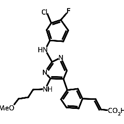 COCCCNc1nc(Nc2ccc(F)c(Cl)c2)ncc1-c1cccc(C=CC(=O)O)c1